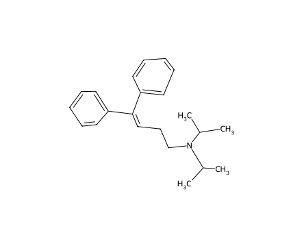 CC(C)N(CCC=C(c1ccccc1)c1ccccc1)C(C)C